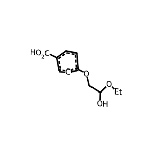 CCOC(O)COc1ccc(C(=O)O)cc1